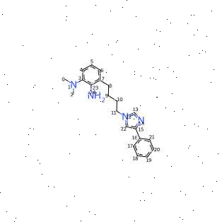 CN(C)c1cccc(CCCCn2cnc(-c3ccccc3)c2)c1N